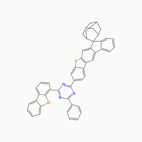 c1ccc(-c2nc(-c3ccc4c(c3)sc3cc5c(cc34)-c3ccccc3C53C4CC5CC(C4)CC3C5)nc(-c3cccc4c3oc3ccccc34)n2)cc1